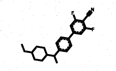 CCC1CCC(C(C)c2ccc(-c3cc(F)c(C#N)c(F)c3)cc2)CC1